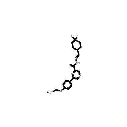 CCOc1ccc(-c2cncc(C(=O)N/N=C/C3CCC(F)(F)CC3)n2)cc1